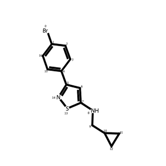 Brc1ccc(-c2cc(NCC3CC3)sn2)cc1